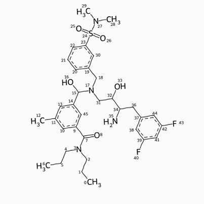 CCCN(CCC)C(=O)c1cc(C)cc(C(O)N(Cc2cccc(S(=O)(=O)N(C)C)c2)CC(O)C(N)Cc2cc(F)cc(F)c2)c1